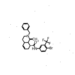 C=C1C2C(C=CC[C@@H]2C(=O)Nc2ccc(Br)c(C(F)(F)F)c2)CCN1Cc1ccccc1